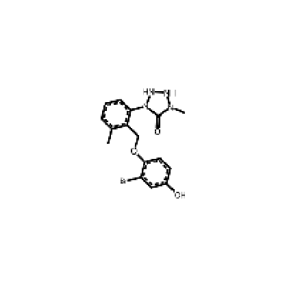 Cc1cccc(N2NNN(C)C2=O)c1COc1ccc(O)cc1Br